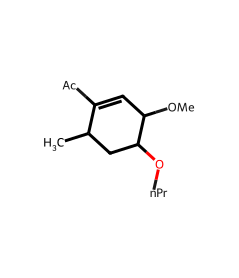 CCCOC1CC(C)C(C(C)=O)=CC1OC